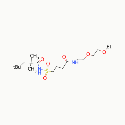 CCOCCOCCNC(=O)CCCS(=O)(=O)NC(=O)C(C)(C)CC(C)(C)C